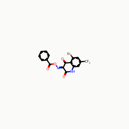 O=C1Nc2cc(C(F)(F)F)cc(Br)c2C(=O)C1=NOC(=O)c1ccccc1